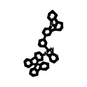 c1cc(-c2ccc3c(c2)c2cccc4c5ccccc5n3c42)cc(-c2nc3ccccc3n2-c2ccc3c(c2)C2(c4ccccc4-c4ccccc42)c2ccccc2-3)c1